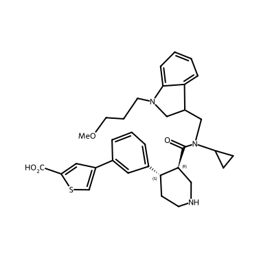 COCCCN1CC(CN(C(=O)[C@H]2CNCC[C@@H]2c2cccc(-c3csc(C(=O)O)c3)c2)C2CC2)c2ccccc21